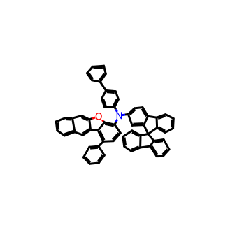 c1ccc(-c2ccc(N(c3ccc4c(c3)C3(c5ccccc5-c5ccccc53)c3ccccc3-4)c3ccc(-c4ccccc4)c4c3oc3cc5ccccc5cc34)cc2)cc1